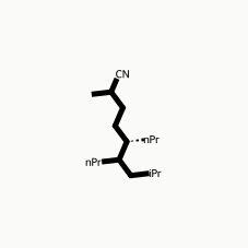 CCCC(CC(C)C)[C@@H](CCC)CCC(C)C#N